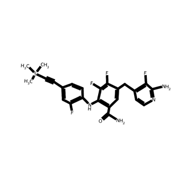 CS(C)(C)C#Cc1ccc(Nc2c(C(N)=O)cc(Cc3ccnc(N)c3F)c(F)c2F)c(F)c1